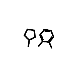 CC1CCCC1.Cc1ccccc1C